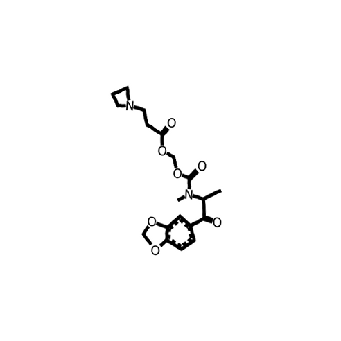 CC(C(=O)c1ccc2c(c1)OCO2)N(C)C(=O)OCOC(=O)CCN1CCC1